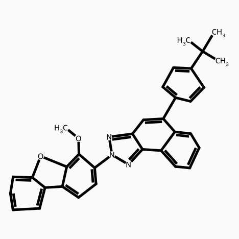 COc1c(-n2nc3cc(-c4ccc(C(C)(C)C)cc4)c4ccccc4c3n2)ccc2c1oc1ccccc12